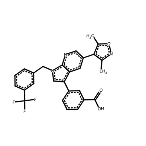 Cc1noc(C)c1-c1cnc2c(c1)c(-c1cccc(C(=O)O)c1)cn2Cc1cccc(C(F)(F)F)c1